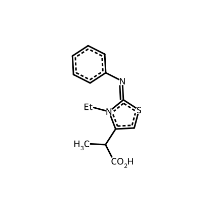 CCn1c(C(C)C(=O)O)csc1=Nc1ccccc1